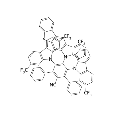 N#Cc1c(-c2ccccc2)c(-n2c3cc(C(F)(F)F)ccc3c3ccc(C(F)(F)F)cc32)c(-n2c3ccccc3c3cc4c(cc32)sc2ccccc24)c(-n2c3cc(C(F)(F)F)ccc3c3ccc(C(F)(F)F)cc32)c1-c1ccccc1